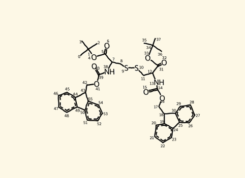 CC(C)(C)OC(=O)C(CSSCC(NC(=O)OCC1c2ccccc2-c2ccccc21)C(=O)OC(C)(C)C)NC(=O)OCC1c2ccccc2-c2ccccc21